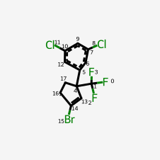 FC(F)(F)C1(c2cc(Cl)cc(Cl)c2)C=C(Br)[CH]C1